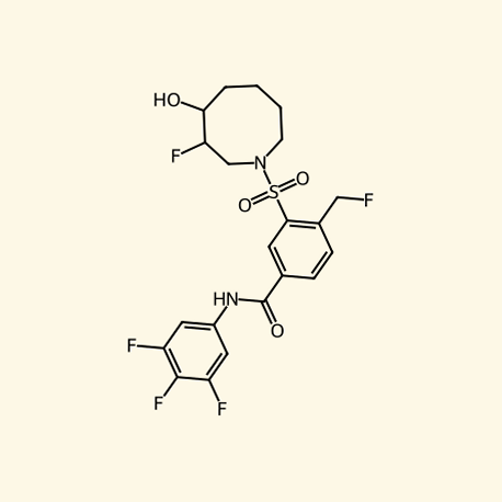 O=C(Nc1cc(F)c(F)c(F)c1)c1ccc(CF)c(S(=O)(=O)N2CCCCC(O)C(F)C2)c1